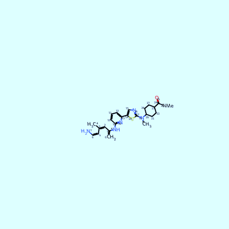 C=C(/C=C(C)\C=C/N)Nc1cccc(-c2cnc(N(C)C3CCC(C(=O)NC)CC3)s2)n1